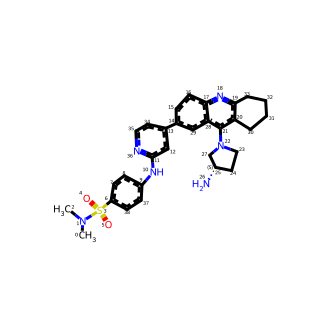 CN(C)S(=O)(=O)c1ccc(Nc2cc(-c3ccc4nc5c(c(N6CC[C@H](N)C6)c4c3)CCCC5)ccn2)cc1